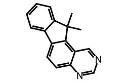 CC1(C)c2ccccc2-c2ccc3ncncc3c21